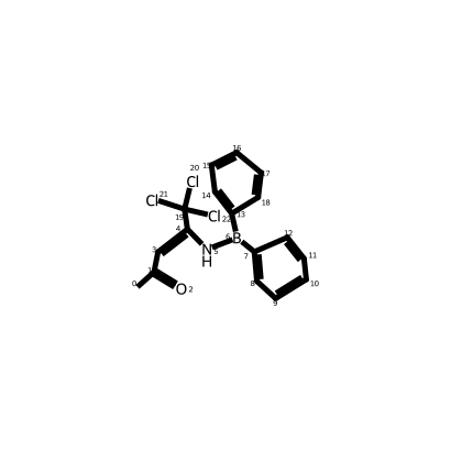 CC(=O)/C=C(\NB(c1ccccc1)c1ccccc1)C(Cl)(Cl)Cl